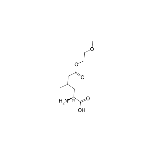 COCCOC(=O)CC(C)C[C@H](N)C(=O)O